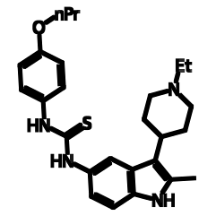 CCCOc1ccc(NC(=S)Nc2ccc3[nH]c(C)c(C4CCN(CC)CC4)c3c2)cc1